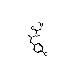 [2H]CC(=O)NC(C)Cc1ccc(O)cc1